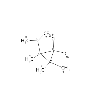 CC(C(F)(F)F)C1(C)C(C)(C)C1(Cl)Cl